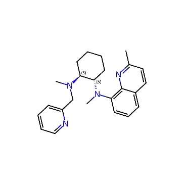 Cc1ccc2cccc(N(C)[C@H]3CCCC[C@@H]3N(C)Cc3ccccn3)c2n1